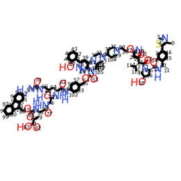 Cc1ncsc1-c1ccc([C@H](C)NC(=O)[C@@H]2C[C@@H](O)CN2C(=O)[C@@H](c2cc(OCCN3CCC(N4CCN5c6cc(-c7ccccc7O)nnc6N(C(=O)OCc6ccc(NC(=O)[C@H](CCCNC(N)=O)NC(=O)CNC(=O)[C@H](CCC(=O)O)NC(=O)OCC7c8ccccc8-c8ccccc87)cc6)[C@@H](C)[C@@H]5C4)CC3)no2)C(C)C)cc1